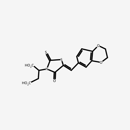 O=C(O)CC(C(=O)O)N1C(=O)C(=Cc2ccc3c(c2)OCCO3)SC1=S